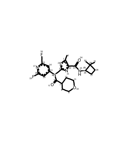 Cc1sc(N(C(=O)C2CCOCC2)c2cc(F)nc(F)c2)nc1C(=O)N[C@@H]1CCC1(C)C